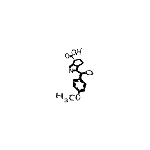 COc1ccc(C(=O)C2=NC=C3C2CC[C@@H]3C(=O)O)cc1